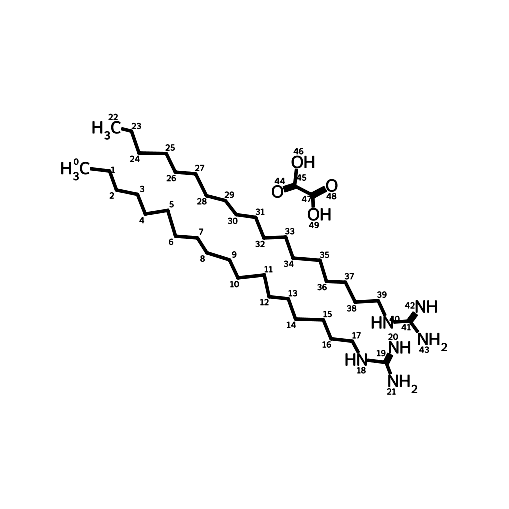 CCCCCCCCCCCCCCCCCCNC(=N)N.CCCCCCCCCCCCCCCCCCNC(=N)N.O=C(O)C(=O)O